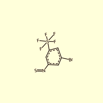 FS(F)(F)(F)(F)c1cc(Br)cc(N=S)c1